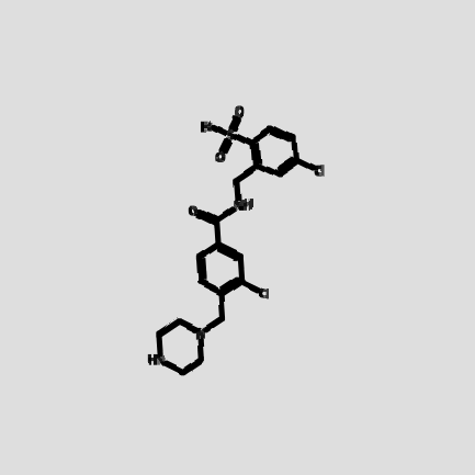 CCS(=O)(=O)c1ccc(Cl)cc1CNC(=O)c1ccc(CN2CCNCC2)c(Cl)c1